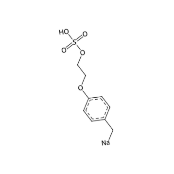 O=S(=O)(O)OCCOc1ccc([CH2][Na])cc1